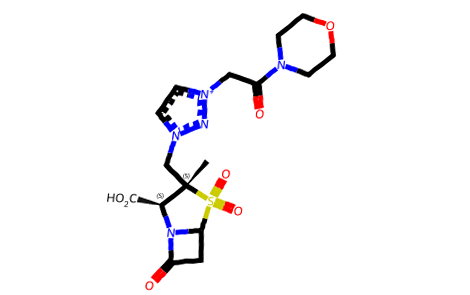 C[C@]1(Cn2cc[n+](CC(=O)N3CCOCC3)n2)[C@H](C(=O)O)N2C(=O)CC2S1(=O)=O